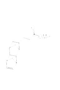 COC(=O)CCC1CC2CC1C1C3C=CC(C3)C21